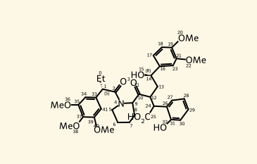 CC[C@H](C(=O)N1CCCCC1C(=O)C(C[C@@H](O)c1ccc(OC)c(OC)c1)C(C(=O)O)c1ccccc1O)c1cc(OC)c(OC)c(OC)c1